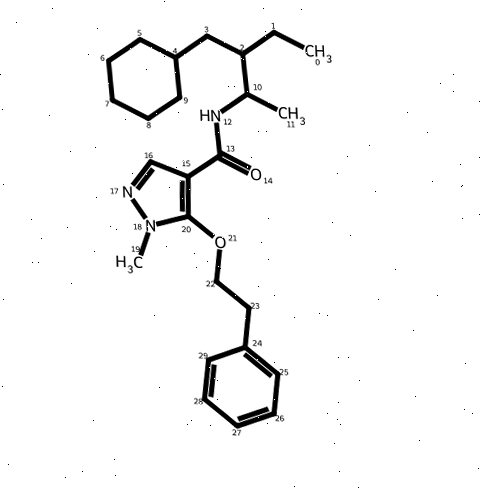 CCC(CC1CCCCC1)C(C)NC(=O)c1cnn(C)c1OCCc1ccccc1